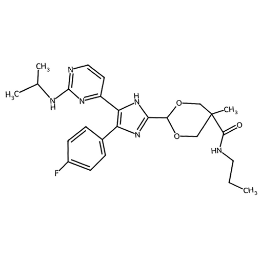 CCCNC(=O)C1(C)COC(c2nc(-c3ccc(F)cc3)c(-c3ccnc(NC(C)C)n3)[nH]2)OC1